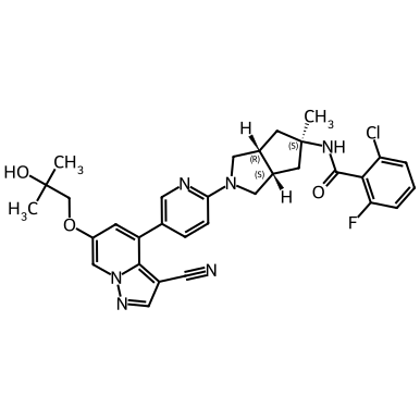 CC(C)(O)COc1cc(-c2ccc(N3C[C@@H]4C[C@@](C)(NC(=O)c5c(F)cccc5Cl)C[C@@H]4C3)nc2)c2c(C#N)cnn2c1